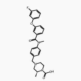 C[C@H]1CN(Cc2ccc(N(C)C(=O)c3cccc(Oc4cccc(F)c4)c3)cc2)CCN1C(=O)O